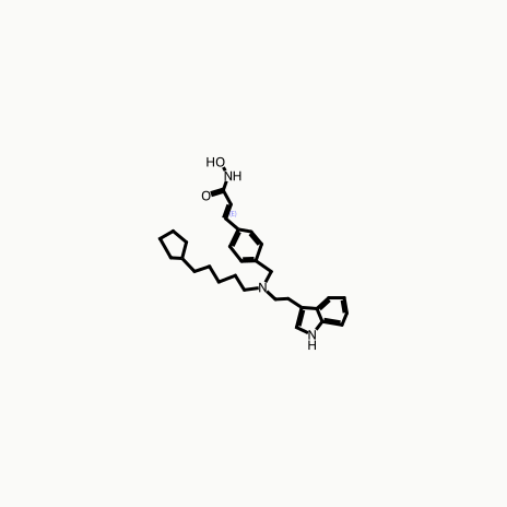 O=C(/C=C/c1ccc(CN(CCCCCC2CCCC2)CCc2c[nH]c3ccccc23)cc1)NO